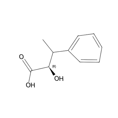 CC(c1ccccc1)[C@@H](O)C(=O)O